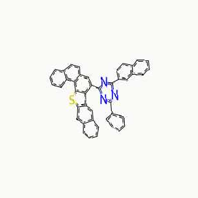 c1ccc(-c2nc(-c3ccc4ccccc4c3)nc(-c3cc4ccc5ccccc5c4c4sc5cc6ccccc6cc5c34)n2)cc1